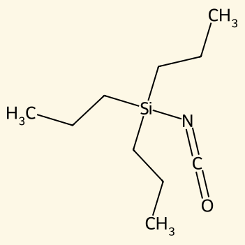 CCC[Si](CCC)(CCC)N=C=O